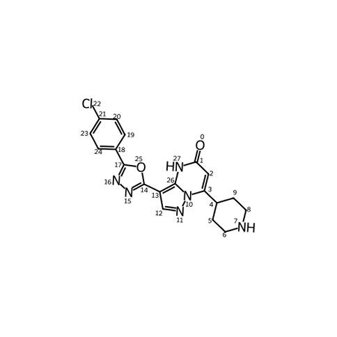 O=c1cc(C2CCNCC2)n2ncc(-c3nnc(-c4ccc(Cl)cc4)o3)c2[nH]1